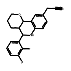 N#CCc1ccc2c(c1)C1OCCCC1C(c1cccc(F)c1F)N2